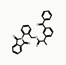 CC(C(=O)OCc1ccccc1N1C(=O)c2ccccc2C1=O)c1cccc(C(=O)c2ccccc2)c1